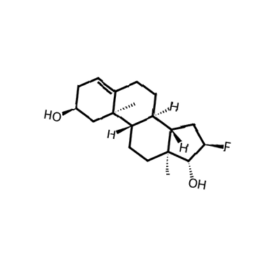 C[C@]12CC[C@H]3[C@@H](CCC4=CC[C@H](O)C[C@@]43C)[C@@H]1C[C@@H](F)[C@@H]2O